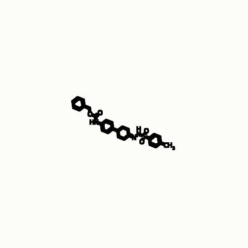 Cc1ccc(S(=O)(=O)NN=C2CCC(c3ccc(NC(=O)OCc4ccccc4)cc3)CC2)cc1